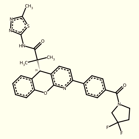 Cc1nnc(NC(=O)C(C)(C)[C@H]2c3ccccc3Oc3nc(-c4ccc(C(=O)N5CCC(F)(F)C5)cc4)ccc32)s1